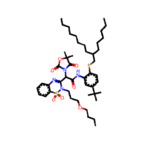 CCCCCCCCC(CCCCCC)CSc1ccc(C(C)(C)C)cc1NC(=O)C(C1=Nc2ccccc2S(=O)(=O)N1CCCOCCCC)N1C(=O)OC(C)(C)C1=O